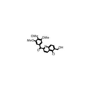 COc1cc(C(=O)c2ccc3c(Cl)c(CO)ccc3n2)cc(OC)c1OC